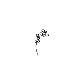 CCCCCCCCCCCC(=O)OCCN1CCOCC1CC(C)(C)OC(=O)C1C(c2ccccc2)=Nc2ccccc21